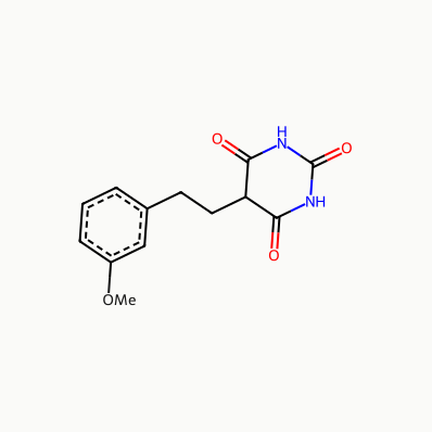 COc1cccc(CCC2C(=O)NC(=O)NC2=O)c1